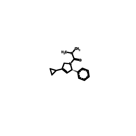 CN(C)C(=O)N1CC(C2CC2)=C[C@H]1c1ccccc1